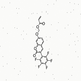 C=CC(=O)OCOc1ccc2cc(-c3c(F)c(F)c(F)c(F)c3F)c(=O)oc2c1